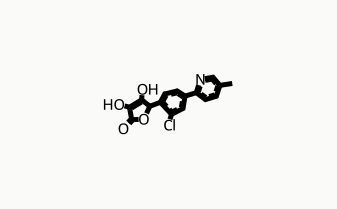 Cc1ccc(-c2ccc(C3OC(=O)C(O)=C3O)c(Cl)c2)nc1